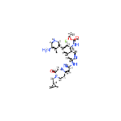 Cc1c(N)cncc1-c1cc2cc(Nc3cc4n(n3)CC(=O)N(CC3CC3)CC4)ncc2c(NC(=O)OC(C)(C)C)c1F